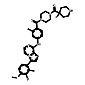 COc1ccc(-c2cnc3c(Nc4ccc(C(=O)N5CCN(C(=O)C6(F)CCNCC6)CC5)c(C)c4)nccn23)c(F)c1F